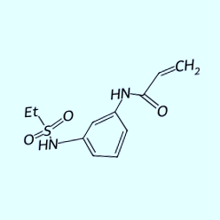 C=CC(=O)Nc1cccc(NS(=O)(=O)CC)c1